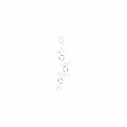 O=C(NCCN1CCOCC1)c1ccc(-c2nc3cc(NC(=O)c4ccc(N5CCCC5)cc4)ccc3[nH]2)cc1